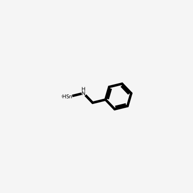 [SnH][NH]Cc1ccccc1